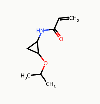 C=CC(=O)NC1CC1OC(C)C